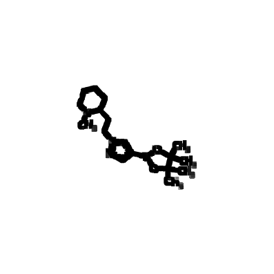 CN1CCCC[C@H]1CCn1cc(B2OC(C)(C)C(C)(C)O2)cn1